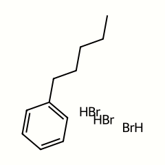 Br.Br.Br.CCCCCc1ccccc1